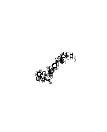 CC1(C)CC(S(=O)(=O)NC(=O)c2ccc(N3C[C@@H]4C[C@H]3C[C@H]4OCc3c(C4CC4)cnn3-c3c(Cl)cccc3Cl)cc2)CCO1